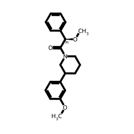 COc1cccc(C2CCCN(C(=O)[C@H](OC)c3ccccc3)C2)c1